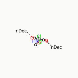 CCCCCCCCCCCCCCCCOc1ccc(-c2cc(Cl)c(-c3ccc(OCCCCCCCCCCCCCCCC)cc3)c(NC(=O)c3ccccc3)c2Cl)cc1